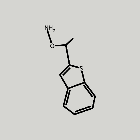 CC(ON)c1cc2ccccc2s1